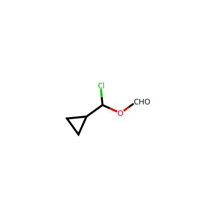 O=COC(Cl)C1CC1